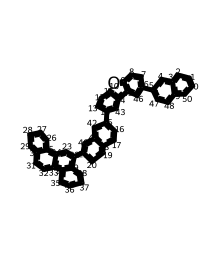 c1ccc2cc(-c3ccc4oc5ccc(-c6ccc7ccc(-c8cc9c%10ccccc%10ccc9c9ccccc89)cc7c6)cc5c4c3)ccc2c1